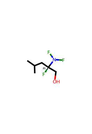 CC(C)C[C@@](F)(CO)N(F)F